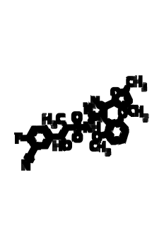 COc1cccc(OC)c1-n1c(NS(=O)(=O)[C@@H](C)[C@H](O)c2ccc(F)c(C#N)c2)nnc1-c1ccc(C)o1